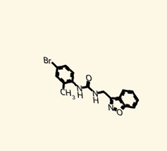 Cc1cc(Br)ccc1NC(=O)NCc1noc2ccccc12